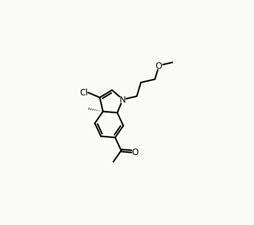 COCCCN1C=C(Cl)[C@]2(C)C=CC(C(C)=O)=CC12